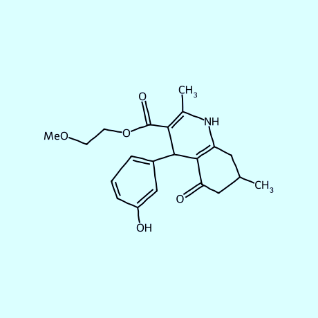 COCCOC(=O)C1=C(C)NC2=C(C(=O)CC(C)C2)C1c1cccc(O)c1